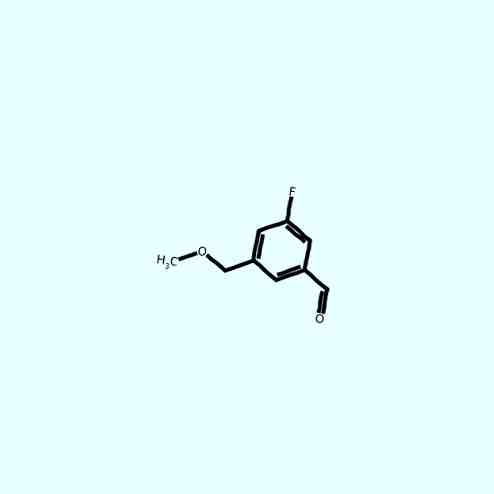 COCc1cc(F)cc(C=O)c1